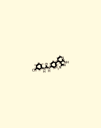 Nc1n[nH]c2nccc(-c3ccc(NC(=O)Nc4cccc(Cl)c4)cc3)c12